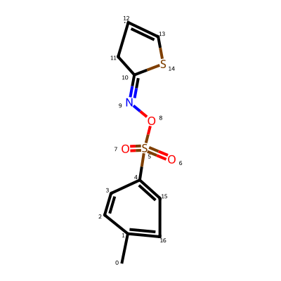 Cc1ccc(S(=O)(=O)ON=C2C[C]=CS2)cc1